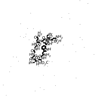 CC(C)C[C@H](NC(=O)[C@H](CC(=O)O)NC(=O)[C@@H](N)Cc1c[nH]c2ccccc12)C(=O)N[C@@H](C)C(=O)NCC(=O)NCC(=O)N[C@@H](CCC(N)=O)C(=O)N[C@@H](Cc1c[nH]cn1)C(=O)N[C@@H](CC(C)C)C(=O)N[C@@H](CC(N)=O)C(=O)O